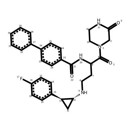 O=C1CN(C(=O)C(CCN[C@@H]2C[C@H]2c2ccc(F)cc2)NC(=O)c2ccc(-c3ccccc3)cc2)CCN1